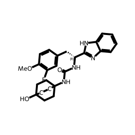 COc1ccc(C[C@@H](NC(=O)NC23CCC(O)(CC2)CC3)c2nc3ccccc3[nH]2)cc1F